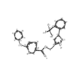 O=C(OCc1cc(-c2ccccc2C(F)(F)F)no1)c1ccc(Oc2ccccc2)nc1